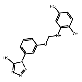 Oc1ccc(O)c(NCOc2cccc(-n3nnnc3S)c2)c1